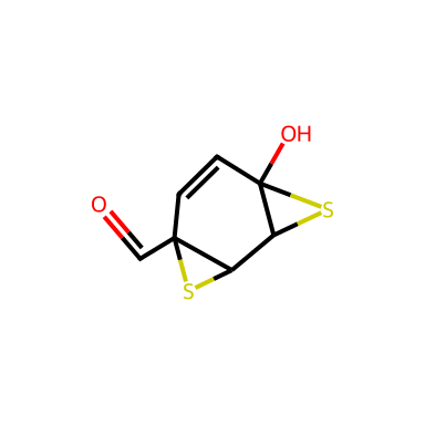 O=CC12C=CC3(O)SC3C1S2